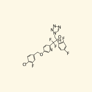 OC(Cn1cnnn1)(c1ccc(F)cc1F)C(F)(F)c1ccc(OCc2ccc(Cl)c(F)c2)cn1